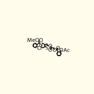 COC(=O)C(c1ccccc1Cl)N1CCc2sc(OC(=O)COC(=O)c3ccccc3OC(C)=O)cc2C1